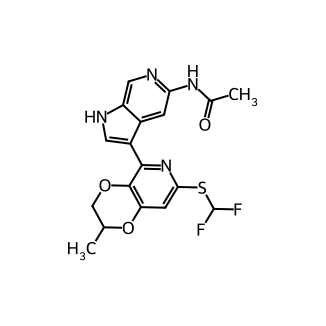 CC(=O)Nc1cc2c(-c3nc(SC(F)F)cc4c3OCC(C)O4)c[nH]c2cn1